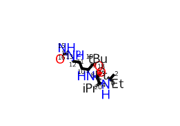 CCC(C)(CC)NC(C(=O)NC(CCCNC(N)=O)C(=O)C(C)(C)C)C(C)C